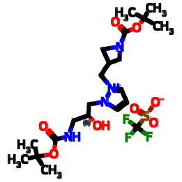 CC(C)(C)OC(=O)NC[C@H](O)Cn1ccc[n+]1CC1CN(C(=O)OC(C)(C)C)C1.O=S(=O)([O-])C(F)(F)F